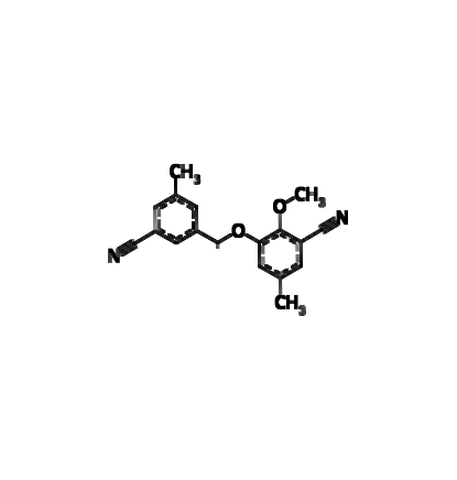 COc1c(C#N)cc(C)cc1O[CH]c1cc(C)cc(C#N)c1